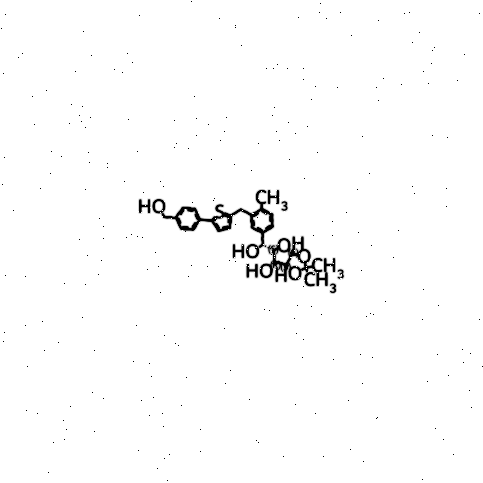 Cc1ccc(C(O)[C@@H]2O[C@H]3OC(C)(C)O[C@H]3[C@@H]2O)cc1Cc1ccc(-c2ccc(CO)cc2)s1